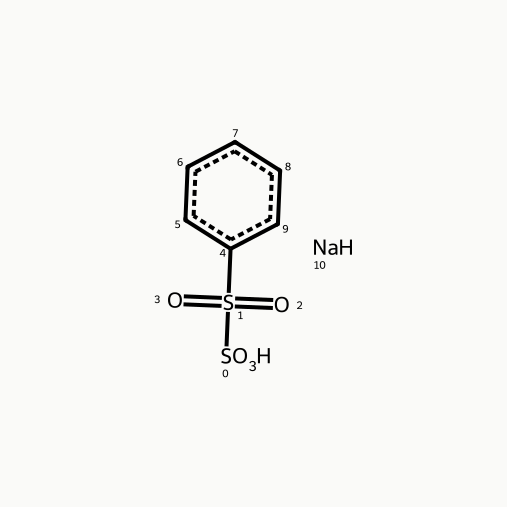 O=S(=O)(O)S(=O)(=O)c1ccccc1.[NaH]